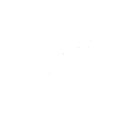 N[C@@H](Cc1ccc([N+](=O)[O-])cc1)C(=O)Nc1nc(C(=O)O)cs1